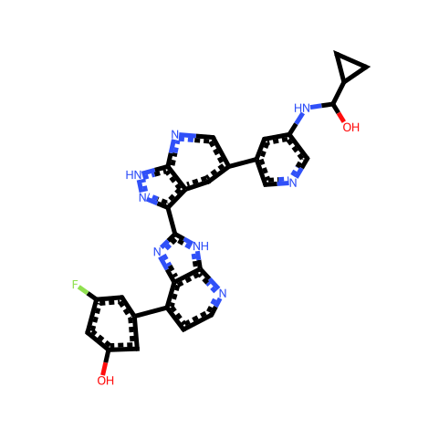 Oc1cc(F)cc(-c2ccnc3[nH]c(-c4n[nH]c5ncc(-c6cncc(NC(O)C7CC7)c6)cc45)nc23)c1